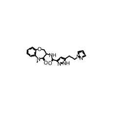 CN1C(=O)C(NC(=O)c2cc(CCn3cccn3)[nH]n2)COc2ccccc21